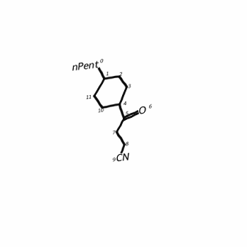 CCCCCC1CCC(C(=O)CCC#N)CC1